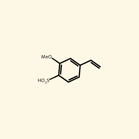 C=Cc1ccc(S(=O)(=O)O)c(OC)c1